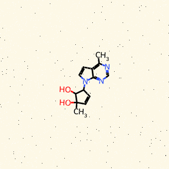 Cc1ncnc2c1ccn2C1C=CC(C)(O)C1O